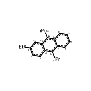 CCc1ccc2c(C(C)C)c3ccccc3c(C(C)C)c2c1